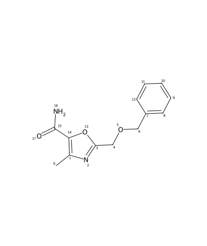 Cc1nc(COCc2ccccc2)oc1C(N)=O